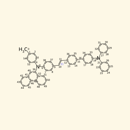 Cc1ccc(N(c2ccc(/C=C/c3ccc(-c4ccc(N(c5ccccc5)c5ccccc5)cc4)cc3)cc2)c2cc3ccccc3c3ccccc23)cc1